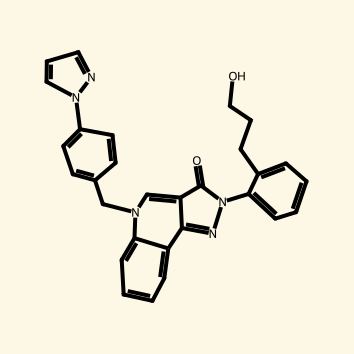 O=c1c2cn(Cc3ccc(-n4cccn4)cc3)c3ccccc3c-2nn1-c1ccccc1CCCO